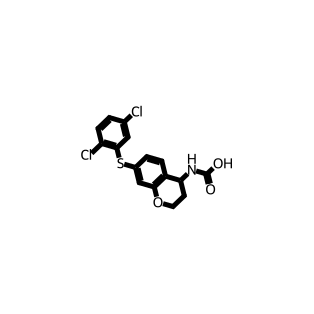 O=C(O)NC1CCOc2cc(Sc3cc(Cl)ccc3Cl)ccc21